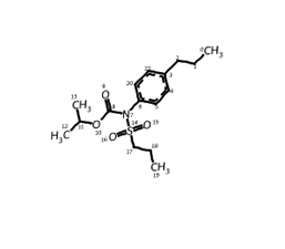 CCCc1ccc(N(C(=O)OC(C)C)S(=O)(=O)CCC)cc1